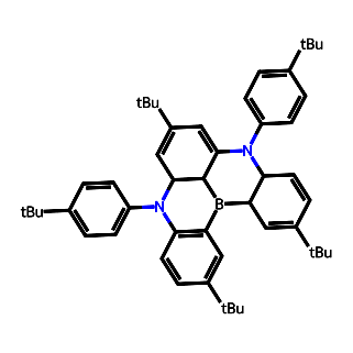 CC(C)(C)C1=CC2B3c4cc(C(C)(C)C)ccc4N(c4ccc(C(C)(C)C)cc4)C4C=C(C(C)(C)C)C=C(C34)N(c3ccc(C(C)(C)C)cc3)C2C=C1